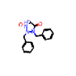 O=C1[CH][NH+]([O-])N(Cc2ccccc2)N1Cc1ccccc1